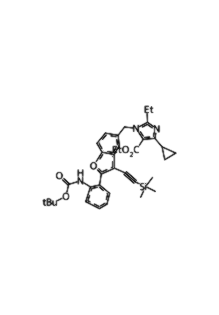 CCOC(=O)c1c(C2CC2)nc(CC)n1Cc1ccc2oc(-c3ccccc3NC(=O)OC(C)(C)C)c(C#C[Si](C)(C)C)c2c1